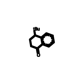 CC(C)(C)C1CCC(=O)c2ccccc21